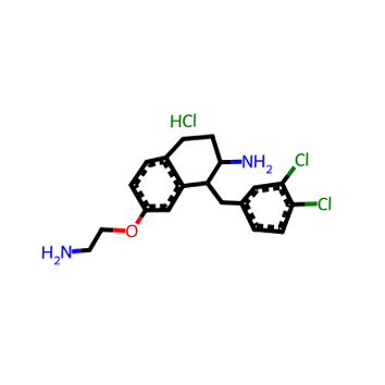 Cl.NCCOc1ccc2c(c1)C(Cc1ccc(Cl)c(Cl)c1)C(N)CC2